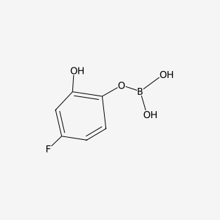 OB(O)Oc1ccc(F)cc1O